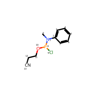 CN(c1ccccc1)P(Cl)OCCC#N